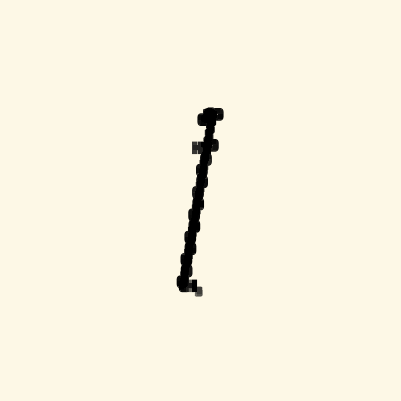 COCCOCCOCCOCCOCCOCCOCCOCCOCCOCCOCCOCCNC(=O)CCCCCCN1C(=O)C=CC1=O